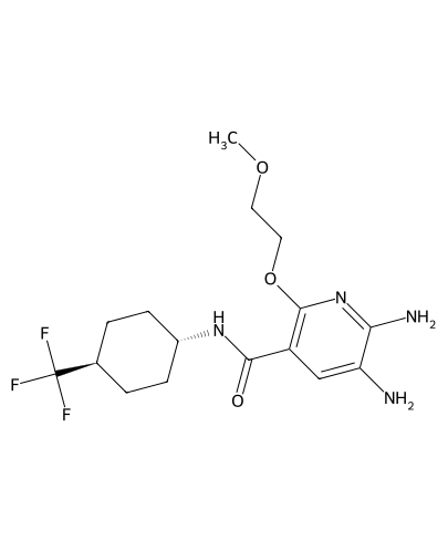 COCCOc1nc(N)c(N)cc1C(=O)N[C@H]1CC[C@H](C(F)(F)F)CC1